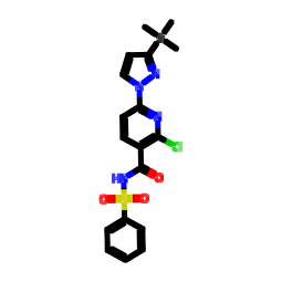 C[Si](C)(C)c1ccn(-c2ccc(C(=O)NS(=O)(=O)c3ccccc3)c(Cl)n2)n1